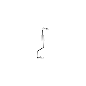 C[CH]CCCCCCC#CCCCCCC